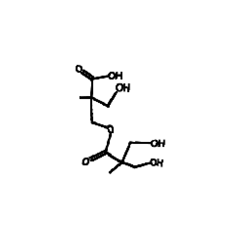 CC(CO)(COC(=O)C(C)(CO)CO)C(=O)O